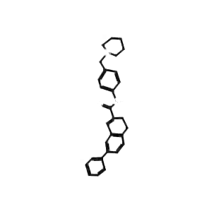 O=C(Nc1ccc(CN2CCCCC2)cc1)C1=Cc2cc(-c3ccccc3)ccc2CC1